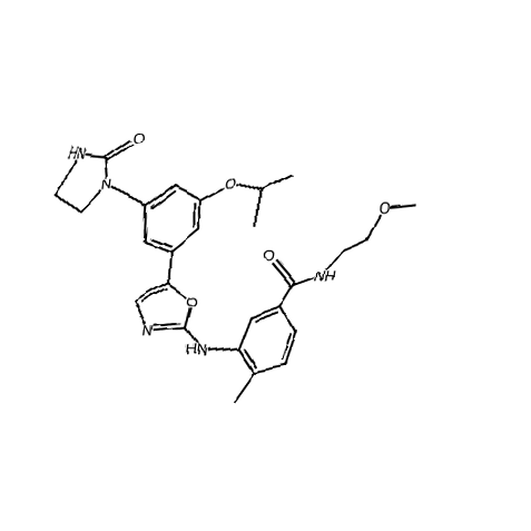 COCCNC(=O)c1ccc(C)c(Nc2ncc(-c3cc(OC(C)C)cc(N4CCNC4=O)c3)o2)c1